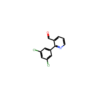 O=Cc1cccnc1-c1cc(Cl)cc(Cl)c1